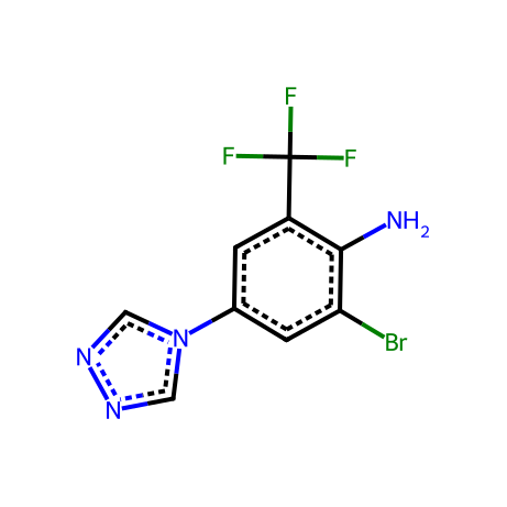 Nc1c(Br)cc(-n2cnnc2)cc1C(F)(F)F